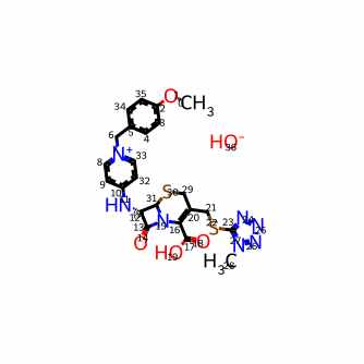 COc1ccc(C[n+]2ccc(N[C@H]3C(=O)N4C(C(=O)O)=C(CSc5nnnn5C)CSC34)cc2)cc1.[OH-]